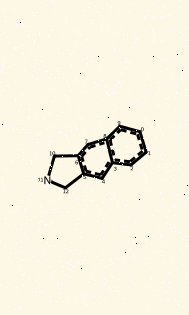 c1ccc2cc3c(cc2c1)C[N]C3